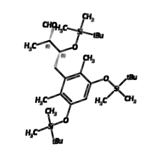 Cc1c(O[Si](C)(C)C(C)(C)C)cc(O[Si](C)(C)C(C)(C)C)c(C)c1C[C@@H](O[Si](C)(C)C(C)(C)C)[C@H](C)C=O